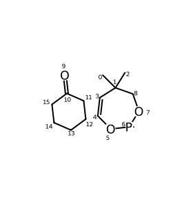 CC1(C)C=CO[P]OC1.O=C1CCCCC1